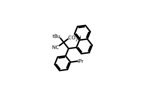 CC(C)c1ccccc1C(c1cccc2ccccc12)C(C#N)(C(=O)O)C(C)(C)C